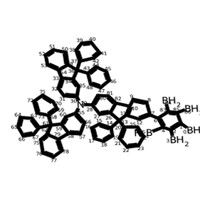 Bc1c(B)c(B)c(-c2ccc3c(c2)C(c2ccccc2)(c2ccccc2)c2cc(N(c4ccc5c(c4)C(c4ccccc4)(c4ccccc4)c4ccccc4-5)c4ccc5c(c4)C(c4ccccc4)(c4ccccc4)c4ccccc4-5)ccc2-3)c(B)c1B